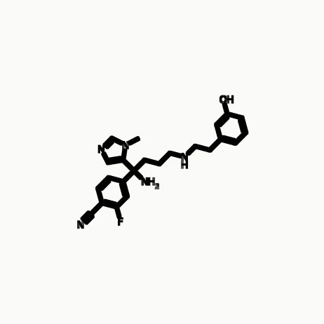 Cn1cncc1C(N)(CCCNCCc1cccc(O)c1)c1ccc(C#N)c(F)c1